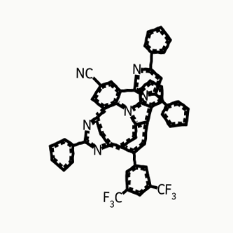 N#Cc1cc(-c2nc(-c3ccccc3)cc(-c3ccccc3)n2)c2c(c1)c1cc(nc(-c3ccccc3)n1)c1cc3c(cc1-c1cc(C(F)(F)F)cc(C(F)(F)F)c1)c1ccccc1n32